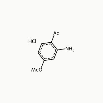 COc1ccc(C(C)=O)c(N)c1.Cl